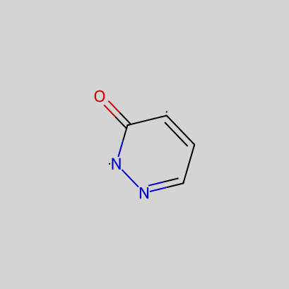 O=C1[C]=CC=N[N]1